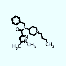 CCCCN1CCC(N(Cc2ccccc2)C(=O)c2cc(C)n(C)n2)CC1